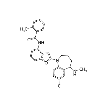 CNC1CCCN(c2cc3c(NC(=O)c4ccccc4C)cccc3o2)c2ccc(Cl)cc21